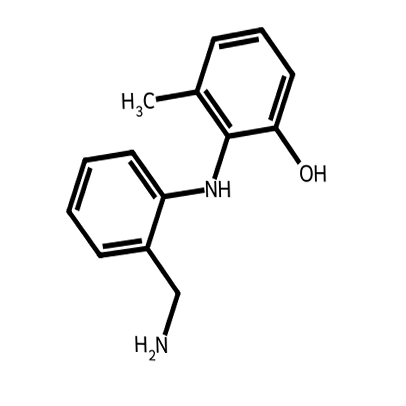 Cc1cccc(O)c1Nc1ccccc1CN